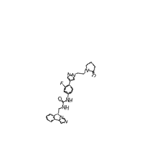 O=C(NCC1c2ccccc2-c2cncn21)Nc1ccc(-c2cnn(CCN3CCCC3=O)c2)c(F)c1